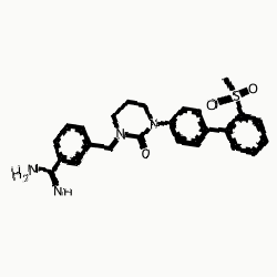 CS(=O)(=O)c1ccccc1-c1ccc(N2CCCN(Cc3cccc(C(=N)N)c3)C2=O)cc1